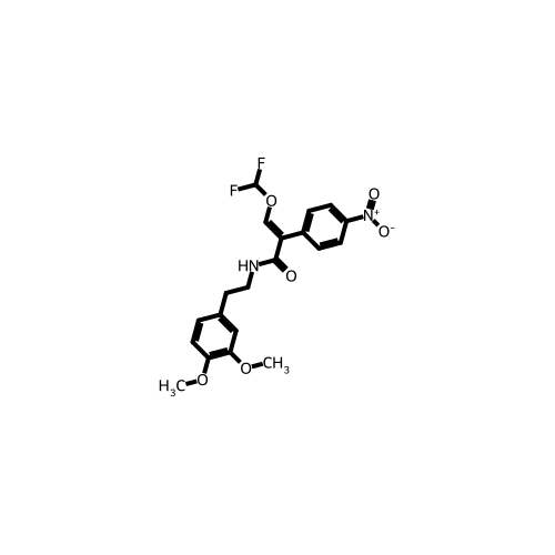 COc1ccc(CCNC(=O)C(=COC(F)F)c2ccc([N+](=O)[O-])cc2)cc1OC